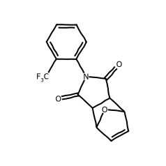 O=C1C2C3C=CC(O3)C2C(=O)N1c1ccccc1C(F)(F)F